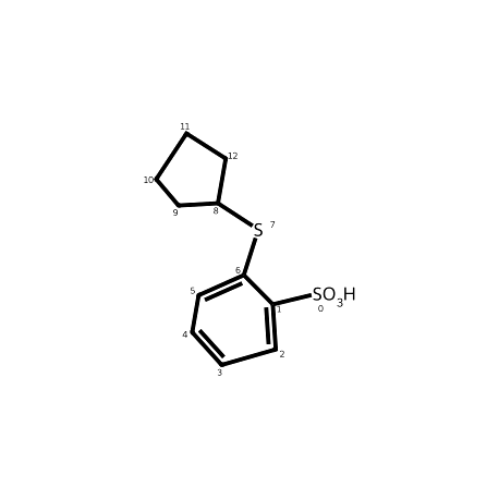 O=S(=O)(O)c1ccccc1SC1CCCC1